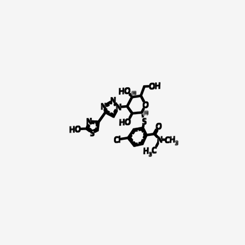 CN(C)C(=O)c1ccc(Cl)cc1S[C@H]1OC(CO)[C@H](O)C(n2cc(-c3csc(O)n3)nn2)C1O